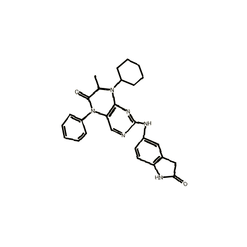 CC1C(=O)N(c2ccccc2)c2cnc(Nc3ccc4c(c3)CC(=O)N4)nc2N1C1CCCCC1